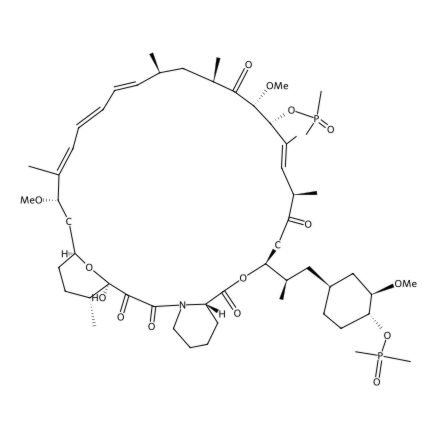 CO[C@H]1C[C@@H]2CC[C@@H](C)[C@@](O)(O2)C(=O)C(=O)N2CCCC[C@H]2C(=O)O[C@H]([C@H](C)C[C@@H]2CC[C@@H](OP(C)(C)=O)[C@H](OC)C2)CC(=O)[C@H](C)/C=C(\C)[C@@H](OP(C)(C)=O)[C@@H](OC)C(=O)[C@H](C)C[C@H](C)/C=C/C=C/C=C/1C